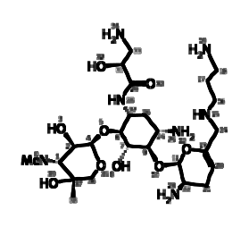 CN[C@@H]1[C@@H](O)[C@@H](O[C@@H]2[C@@H](O)[C@H](O[C@H]3OC(CNCCCN)=CC[C@H]3N)[C@@H](N)C[C@H]2NC(=O)[C@@H](O)CN)OC[C@]1(C)O